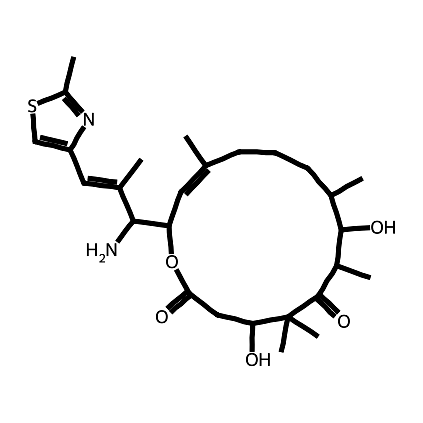 C/C1=C/C(C(N)/C(C)=C/c2csc(C)n2)OC(=O)CC(O)C(C)(C)C(=O)C(C)C(O)C(C)CCC1